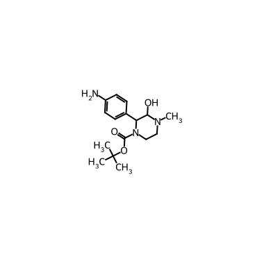 CN1CCN(C(=O)OC(C)(C)C)C(c2ccc(N)cc2)C1O